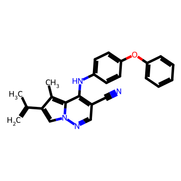 C=C(C)c1cn2ncc(C#N)c(Nc3ccc(Oc4ccccc4)cc3)c2c1C